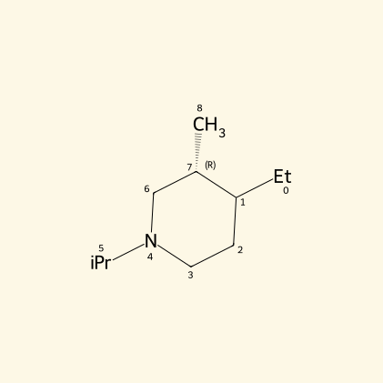 CCC1CCN(C(C)C)C[C@@H]1C